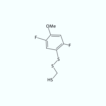 COc1cc(F)c(SSCS)cc1F